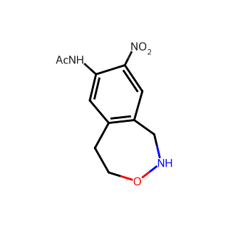 CC(=O)Nc1cc2c(cc1[N+](=O)[O-])CNOCC2